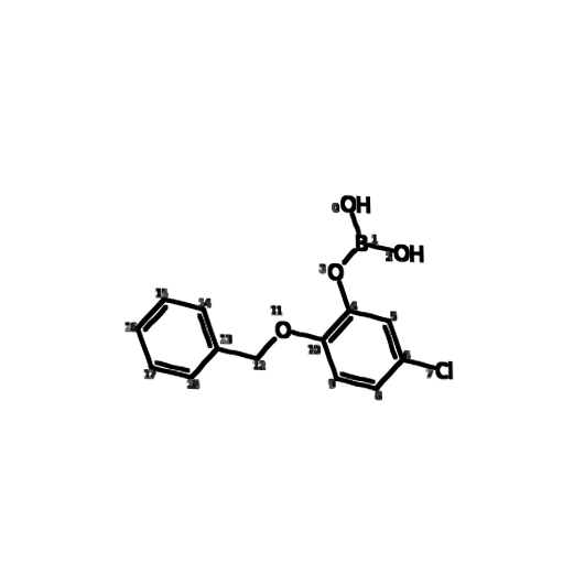 OB(O)Oc1cc(Cl)ccc1OCc1ccccc1